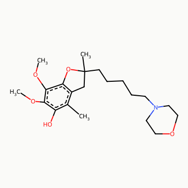 COc1c(O)c(C)c2c(c1OC)OC(C)(CCCCCN1CCOCC1)C2